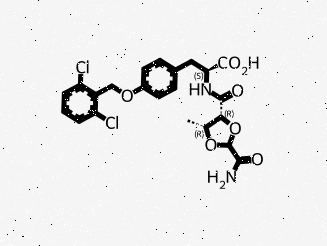 C[C@H]1OC(C(N)=O)O[C@H]1C(=O)N[C@@H](Cc1ccc(OCc2c(Cl)cccc2Cl)cc1)C(=O)O